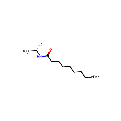 CCCCCCCCCCCCCCCCCC(=O)N[C@@H](CC)C(=O)O